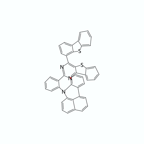 c1ccc(N2c3ccccc3-c3cccc4cccc2c34)c(-c2nc(-c3cccc4c3sc3ccccc34)c3sc4ccccc4c3n2)c1